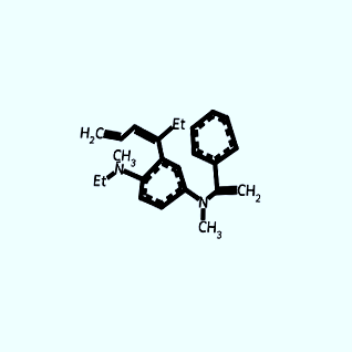 C=C/C=C(/CC)c1cc(N(C)C(=C)c2ccccc2)ccc1N(C)CC